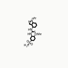 CCCn1ncc2c(NC(=S)Nc3cc(S(C)(=O)=O)ccc3OC)cccc21